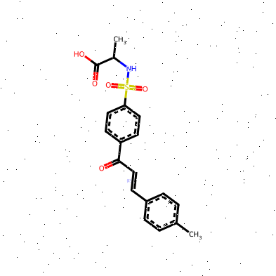 Cc1ccc(/C=C/C(=O)c2ccc(S(=O)(=O)NC(C)C(=O)O)cc2)cc1